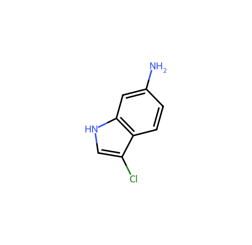 Nc1ccc2c(Cl)c[nH]c2c1